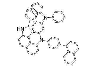 c1ccc(C2Nc3ccc4cccc(N(c5ccc(-c6cccc7ccccc67)cc5)c5ccc6c7ccccc7n(-c7ccccc7)c6c5)c4c3O2)cc1